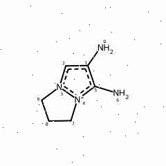 Nc1cn2[n+](c1N)CCC2